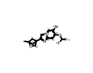 CC12CC(c3cn4cc(Br)c(OC(F)F)cc4n3)(CO1)C2